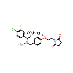 CCCCN(Cc1ccc(OCCN2C(=O)CCC2=O)c(C)c1)C(CC(=O)O)c1ccc(Cl)c(F)c1